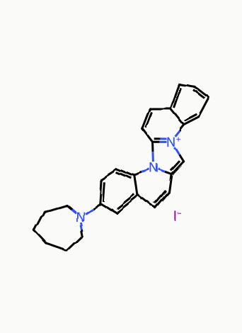 [I-].c1ccc2c(c1)ccc1n3c(ccc4cc(N5CCCCCC5)ccc43)c[n+]21